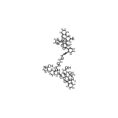 Cc1ncsc1-c1ccc(CNC(=O)[C@@H]2C[C@@H](O)CN2C(=O)[C@H](C(C)C)N2Cc3ccccc3C2=O)c(OCCOCCOCC#Cc2cccc3c2C(=O)N(C(C(=O)Nc2nccs2)c2cc(F)ccc2OCc2ccccc2)C3)c1